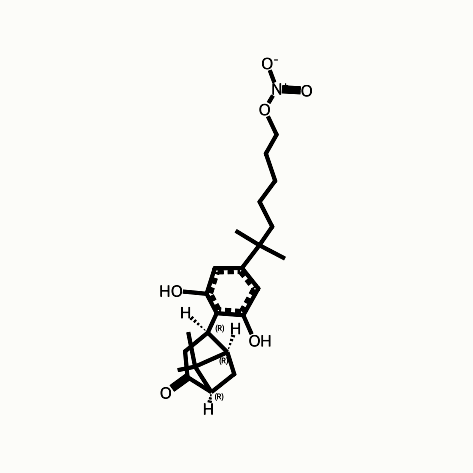 CC(C)(CCCCCO[N+](=O)[O-])c1cc(O)c([C@@H]2CC(=O)[C@@H]3C[C@H]2C3(C)C)c(O)c1